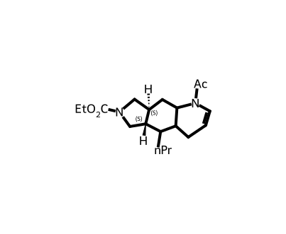 CCCC1C2CC=CN(C(C)=O)C2C[C@@H]2CN(C(=O)OCC)C[C@@H]12